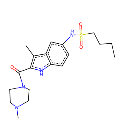 CCCCS(=O)(=O)Nc1ccc2[nH]c(C(=O)N3CCN(C)CC3)c(C)c2c1